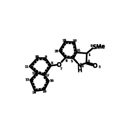 CSC1C(=O)Nc2c(Oc3cccc4ccccc34)cccc21